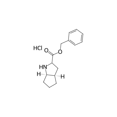 Cl.O=C(OCc1ccccc1)C1C[C@H]2CCC[C@H]2N1